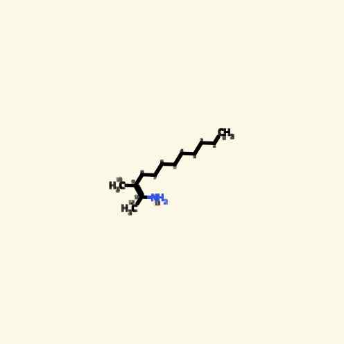 CCCCCCCCCC(C)=C(C)N